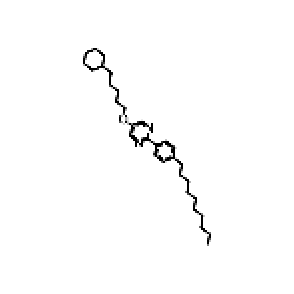 CCCCCCCCCCc1ccc(-c2ncc(OCCCCCC3CCCCC3)cn2)cc1